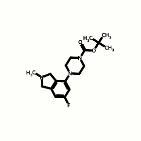 CN1Cc2cc(F)cc(N3CCN(C(=O)OC(C)(C)C)CC3)c2C1